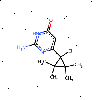 CC1(C)C(C)(C)C1(C)c1cc(=O)[nH]c(N)n1